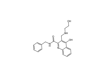 O=C(NCc1ccccc1)c1nc2ccccc2c(O)c1CNCCO